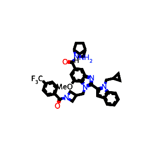 COc1cc(C(=O)N2CC3CCC2[C@@H]3N)cc2nc(-c3cc4ccccc4n3CC3CC3)n(CC3CN(C(=O)c4ccc(C(F)(F)F)cc4)C3)c12